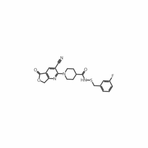 N#Cc1cc2c(nc1N1CCC(C(=O)NSCc3cccc(F)c3)CC1)COC2=O